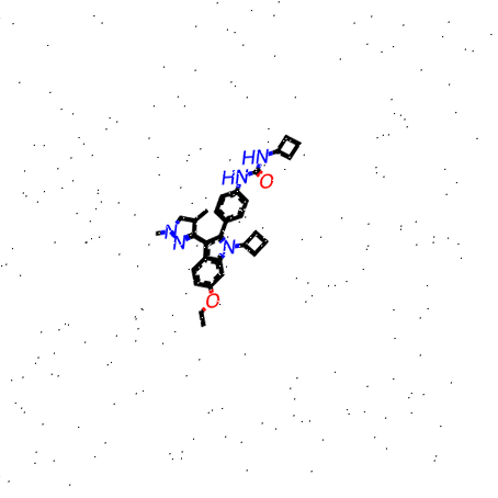 CCOc1ccc2c(C3=NN(C)CC3C)c(-c3ccc(NC(=O)NC4CCC4)cc3)n(C3CCC3)c2c1